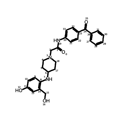 O=C(CN1CCC(Nc2ccc(O)cc2CO)CC1)Nc1ccc(C(=O)c2ccccc2)cc1